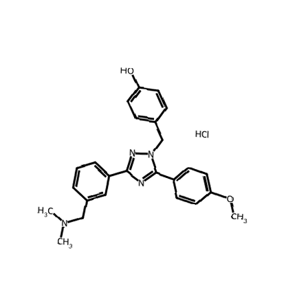 COc1ccc(-c2nc(-c3cccc(CN(C)C)c3)nn2Cc2ccc(O)cc2)cc1.Cl